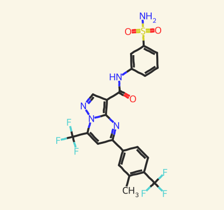 Cc1cc(-c2cc(C(F)(F)F)n3ncc(C(=O)Nc4cccc(S(N)(=O)=O)c4)c3n2)ccc1C(F)(F)F